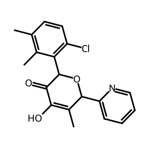 CC1=C(O)C(=O)C(c2c(Cl)ccc(C)c2C)OC1c1ccccn1